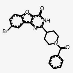 O=C(c1ccccc1)N1CCC(c2nc3c(oc4ccc(Br)cc43)c(=O)[nH]2)CC1